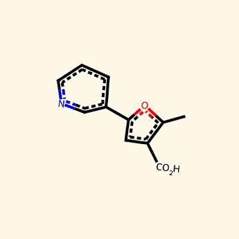 Cc1oc(-c2cccnc2)cc1C(=O)O